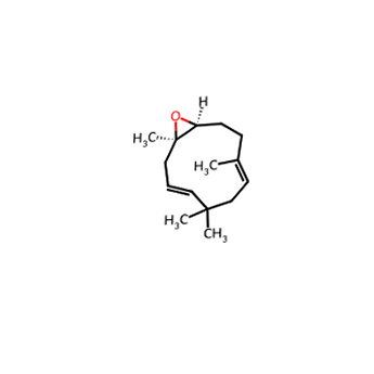 C/C1=C\CC(C)(C)/C=C/C[C@@]2(C)O[C@H]2CC1